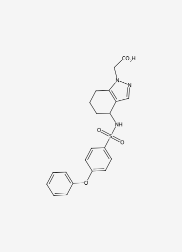 O=C(O)Cn1ncc2c1CCCC2NS(=O)(=O)c1ccc(Oc2ccccc2)cc1